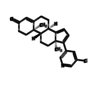 C[C@]12CC[C@H]3[C@@H](CCC4=CC(=O)CC[C@@]43C)C1=CC=C2c1cncc(Cl)c1